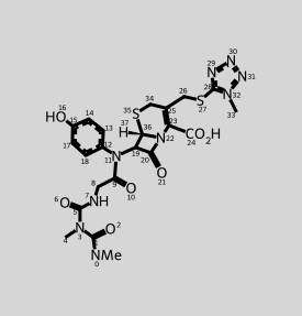 CNC(=O)N(C)C(=O)NCC(=O)N(c1ccc(O)cc1)C1C(=O)N2C(C(=O)O)=C(CSc3nnnn3C)CS[C@@H]12